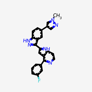 Cn1cc(-c2ccc3[nH]nc(-c4cc5c(-c6cccc(F)c6)nccc5[nH]4)c3c2)cn1